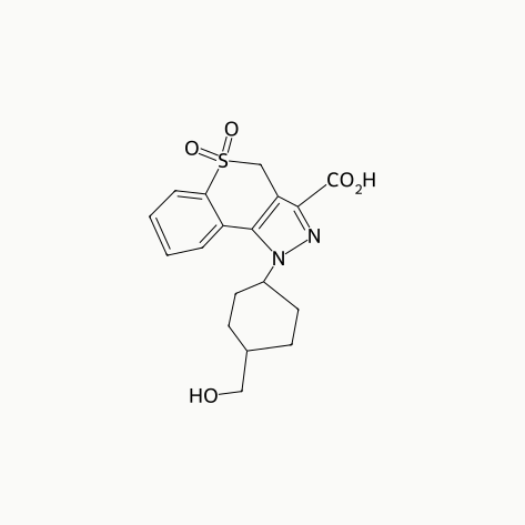 O=C(O)c1nn(C2CCC(CO)CC2)c2c1CS(=O)(=O)c1ccccc1-2